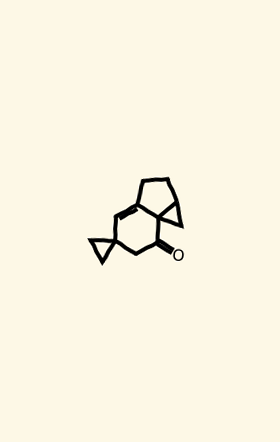 O=C1CC2(C=C3CCC4CC134)CC2